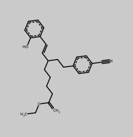 C=C(CCCCC(/C=C/c1ccccc1O)CCc1ccc(C#N)cc1)OCC